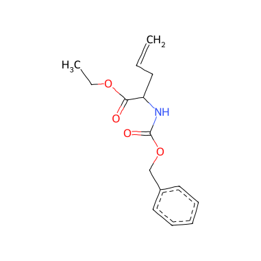 C=CCC(NC(=O)OCc1ccccc1)C(=O)OCC